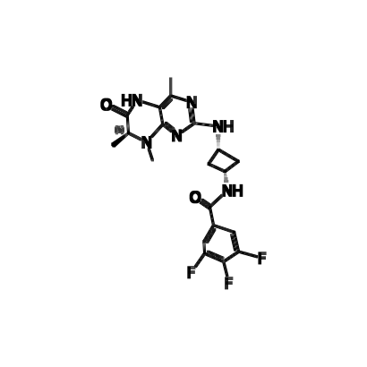 Cc1nc(N[C@H]2C[C@@H](NC(=O)c3cc(F)c(F)c(F)c3)C2)nc2c1NC(=O)[C@H](C)N2C